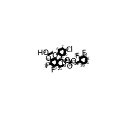 O=C(O)COc1ccc(Cl)cc1[C@@H]1c2ccc(F)c(F)c2CCN1OC(=O)OCc1cccc(F)c1F